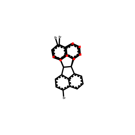 Brc1ccc2c3c(cccc13)C13c4cccc5c(Br)ccc(c45)C21c1ccc(Br)c2cccc3c12